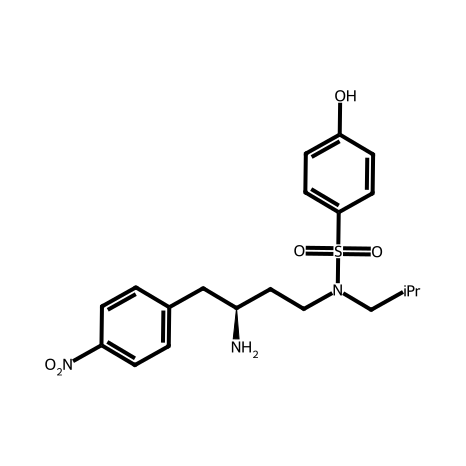 CC(C)CN(CC[C@@H](N)Cc1ccc([N+](=O)[O-])cc1)S(=O)(=O)c1ccc(O)cc1